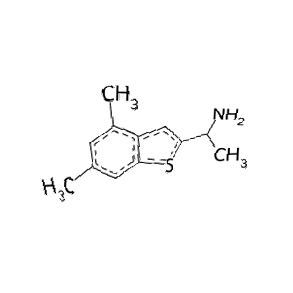 Cc1cc(C)c2cc(C(C)N)sc2c1